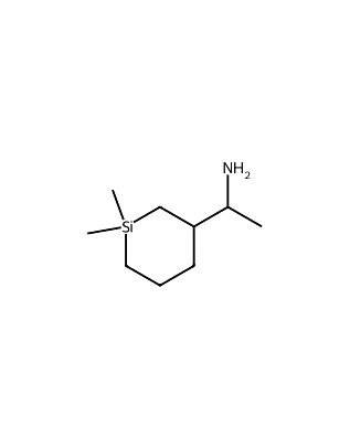 CC(N)C1CCC[Si](C)(C)C1